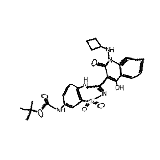 CC(C)(C)OC(=O)Nc1ccc2c(c1)S(=O)(=O)N=C(c1c(O)c3ccccc3n(NC3CCC3)c1=O)N2